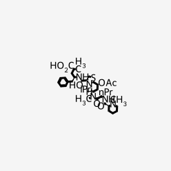 CCC[C@@H](NC(=O)[C@@H]1CCCCN1C)C(=O)N(C)[C@H](C[C@@H](OC(C)=O)[C@H]1N[C@@H]([C@@H](O)N[C@@H](Cc2ccccc2)C[C@H](C)C(=O)O)CS1)C(C)C